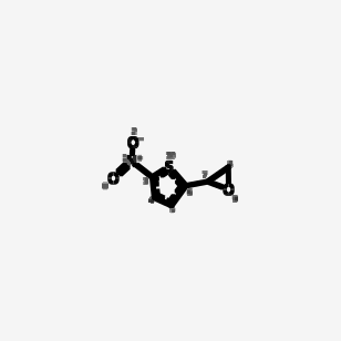 O=[N+]([O-])c1ccc(C2CO2)s1